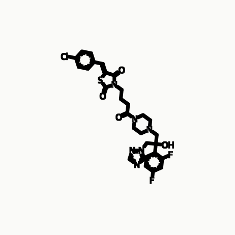 O=C(CCCN1C(=O)SC(=Cc2ccc(Cl)cc2)C1=O)N1CCN(CC(O)(Cn2cncn2)c2ccc(F)cc2F)CC1